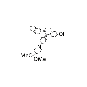 COC(OC)C1CCN(c2ccc([C@H]3c4ccc(O)cc4CC[C@H]3c3ccc4c(c3)CCC4)cc2)CC1